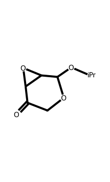 CC(C)OC1OCC(=O)C2OC12